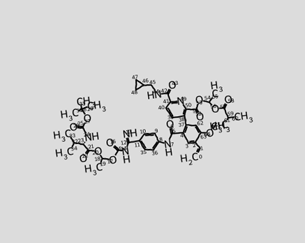 C=Cc1cc(C(=O)Nc2ccc(C(=N)NC(=O)OC(C)OC(=O)[C@@H](NC(=O)OC(C)(C)C)C(C)C)cc2)c(-c2ccc(C(=O)NCC3CC3)nc2C(=O)OC(C)OC(=O)C(C)C)cc1OC